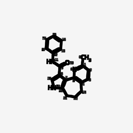 Cc1ccc2c(n1)-c1c(C(=O)Nc3ccccc3)c[nH]c1CCC2